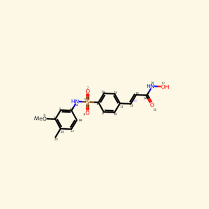 COc1cc(NS(=O)(=O)c2ccc(/C=C/C(=O)NO)cc2)ccc1C